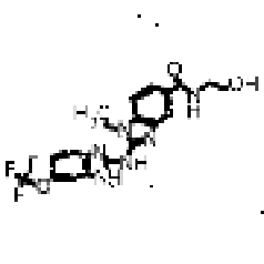 CCn1c(Nc2nc3ccc(OC(F)(F)F)cc3[nH]2)nc2cc(C(=O)NCCO)ccc21